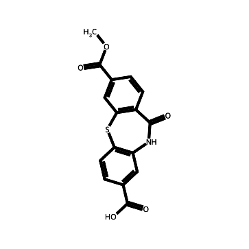 COC(=O)c1ccc2c(c1)Sc1ccc(C(=O)O)cc1NC2=O